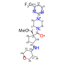 COC[C@]1(C(=O)N2CCN(c3nccc(C(F)(F)F)n3)CC2)CC[C@@H](N[C@@H]2CCOCC2C)C1